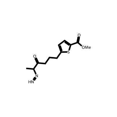 COC(=O)c1ccc(CCCC(=O)C(C)N=N)s1